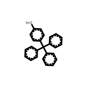 CC(=O)Oc1ccc(C(c2ccccc2)(c2ccccc2)c2ccccc2)cc1